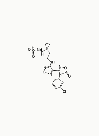 O=c1onc(-c2nonc2NCCC2(NN[SH](=O)=O)CC2)n1-c1cccc(Cl)c1